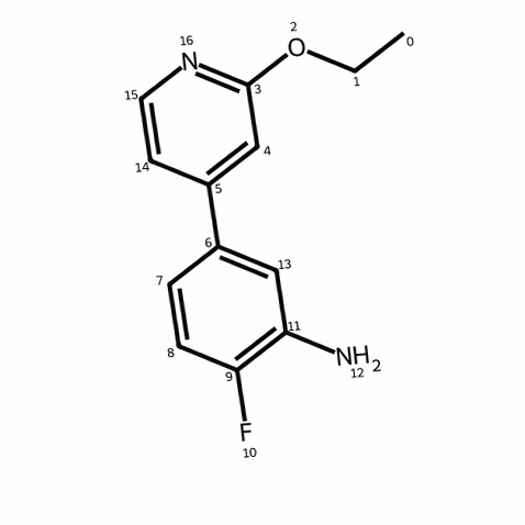 CCOc1cc(-c2ccc(F)c(N)c2)ccn1